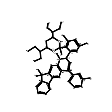 CCC(CC)C1CC(C(CC)CC)OC(C)(c2c(C)cc(C)cc2C2C=C(c3cccc(C)c3)c3cc4c(cc3N2C)C(C)(C)c2ccccc2-4)O1